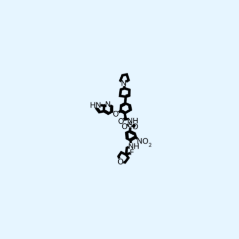 O=C(NS(=O)(=O)c1ccc(NCC2(F)CCOCC2)c([N+](=O)[O-])c1)c1ccc(C2=CCC(N3CCCC3)CC2)cc1Oc1cnc2[nH]ccc2c1